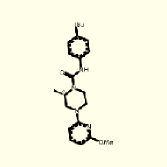 COc1cccc(N2CCN(C(=O)Nc3ccc(C(C)(C)C)cc3)[C@H](C)C2)n1